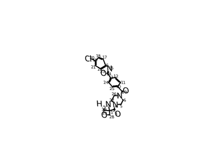 NC1(C(=O)N2CCN(C(=O)c3ccc(-c4nc5ccc(Cl)cc5o4)cc3)CC2)COC1